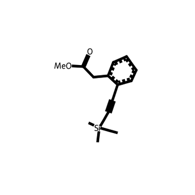 COC(=O)Cc1ccccc1C#C[Si](C)(C)C